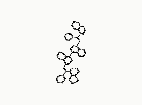 C(=C(c1ccccc1)c1cccc2ccccc12)c1ccc(-c2ccc(C=C(c3ccccc3)c3cccc4ccccc34)c3ccccc23)c2ccccc12